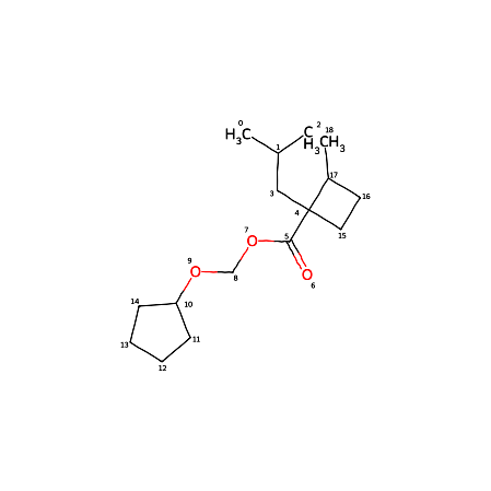 CC(C)CC1(C(=O)OCOC2CCCC2)CCC1C